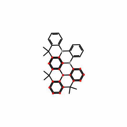 CC1(C)c2ccccc2N(c2ccccc2B(c2ccccc2N2c3ccccc3C(C)(C)c3ccccc32)c2ccccc2N2c3ccccc3C(C)(C)c3ccccc32)c2ccccc21